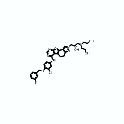 OCCN(CCO)C[C@@H](O)Cn1cc2c(n1)CCc1c-2sc2ncnc(Nc3ccc(OCc4cccc(F)c4)c(Cl)c3)c12